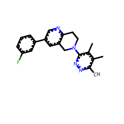 Cc1c(C#N)nnc(N2CCc3ncc(-c4cccc(F)c4)cc3C2)c1C